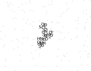 C=CC[C@](C)(NC(=O)[C@@H]1C[C@@H](Oc2nccc3c4c(c(SC)cc23)OCO4)CN1C(=O)[C@@H](NC(=O)OC(C)(C)C)C(C)(C)C)C(=O)NS(=O)(=O)C1CC1